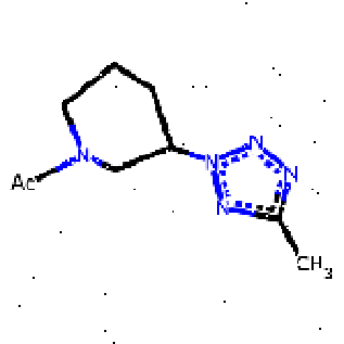 CC(=O)N1CCCC(n2nnc(C)n2)C1